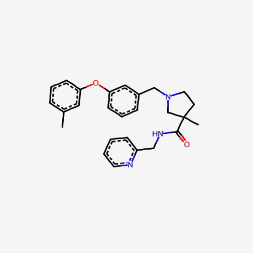 Cc1cccc(Oc2cccc(CN3CCC(C)(C(=O)NCc4ccccn4)C3)c2)c1